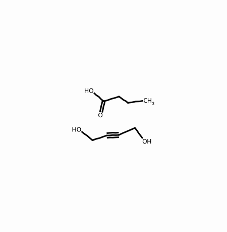 CCCC(=O)O.OCC#CCO